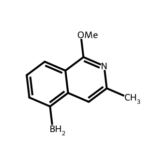 Bc1cccc2c(OC)nc(C)cc12